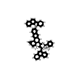 C=C(/N=C(\C(C)=C(/C)c1cc2c(c3ccccc13)C=CCC2)C1Cc2cc3cc(-n4c5c(c6ccc7ccccc7c64)CCC=C5)ccc3cc2C2=C1C=CC1CC21)c1ccccc1